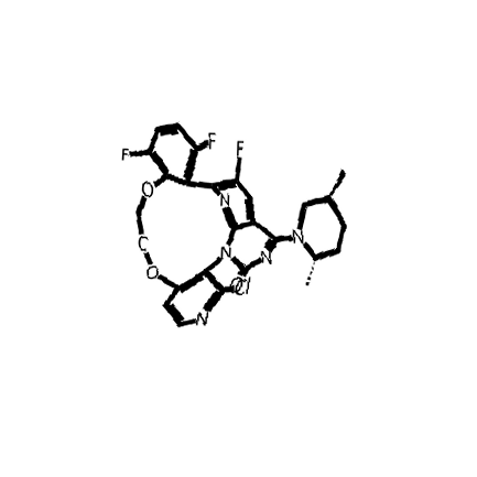 C[C@H]1CC[C@H](C)N(c2nc(=O)n3c4nc(c(F)cc24)-c2c(F)ccc(F)c2OCCOc2ccnc(Cl)c2-3)C1